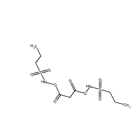 CCCS(=O)(=O)NOC(=O)CC(=O)ONS(=O)(=O)CCC